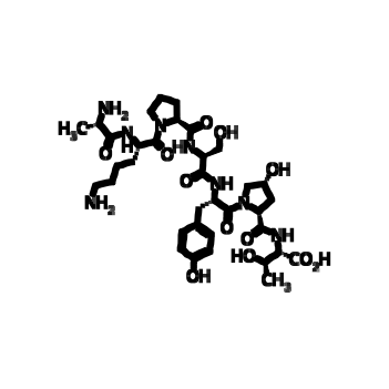 C[C@H](N)C(=O)N[C@@H](CCCCN)C(=O)N1CCC[C@H]1C(=O)N[C@@H](CO)C(=O)N[C@@H](Cc1ccc(O)cc1)C(=O)N1C[C@H](O)C[C@H]1C(=O)N[C@H](C(=O)O)[C@@H](C)O